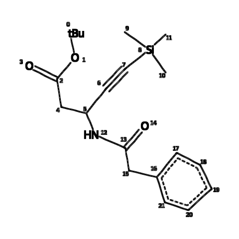 CC(C)(C)OC(=O)CC(C#C[Si](C)(C)C)NC(=O)Cc1ccccc1